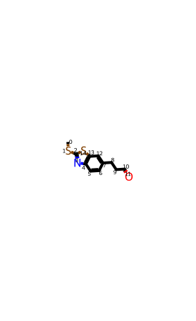 CSc1nc2ccc(CCC=O)cc2s1